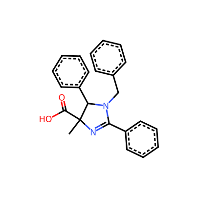 CC1(C(=O)O)N=C(c2ccccc2)N(Cc2ccccc2)C1c1ccccc1